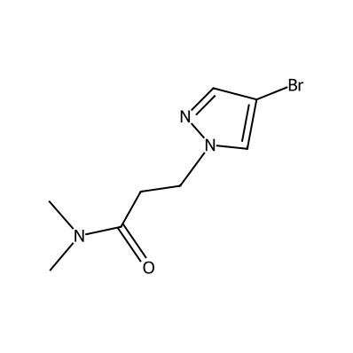 CN(C)C(=O)CCn1cc(Br)cn1